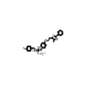 CCC(Cc1ccc(OCCc2nc(-c3ccccc3)oc2C)cc1)(NCc1ccc(F)cc1)C(=O)O